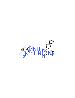 N#Cc1ccc(-c2nc(NCCNc3ncc(C#N)c(N)n3)ncc2-n2ccnc2)cc1